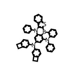 c1ccc(N2c3ccccc3B3c4sc5ccccc5c4N(c4ccccc4)c4cc(N(c5ccc6c(c5)CC6)c5ccc6c(c5)CC6)cc2c43)cc1